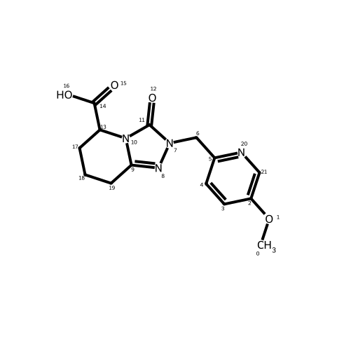 COc1ccc(Cn2nc3n(c2=O)C(C(=O)O)CCC3)nc1